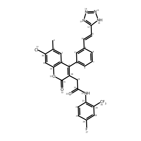 Cc1cc2c(-c3cccc(C=Cc4nnn[nH]4)c3)c(CC(=O)Nc3ccc(F)cc3C(F)(F)F)c(=O)oc2cc1Cl